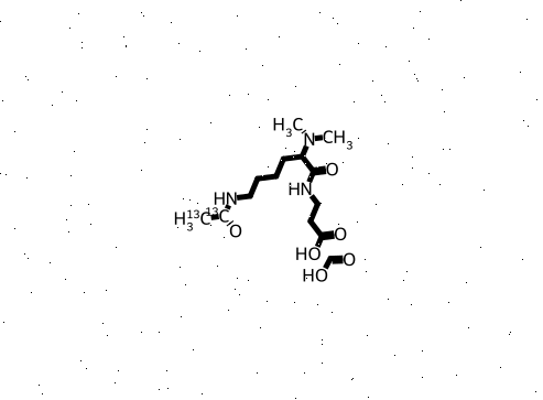 CN(C)C(CCCCN[13C]([13CH3])=O)C(=O)NCCC(=O)O.O=CO